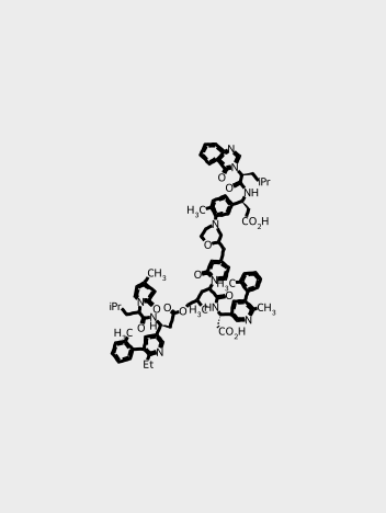 CCc1ncc([C@H](CC(=O)OCC(C)CC(C(=O)N[C@@H](CC(=O)O)c2cnc(C)c(-c3ccccc3C)c2)n2ccc(CC3CN(c4cc([C@H](CC(=O)O)NC(=O)[C@H](CC(C)C)n5cnc6ccccc6c5=O)ccc4C)CCO3)cc2=O)NC(=O)C(CC(C)C)n2ccc(C)cc2=O)cc1-c1ccccc1C